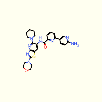 Nc1ccc(-c2cccc(C(=O)Nc3cc4sc(N5CCOCC5)nc4nc3N3CCCCC3)n2)cn1